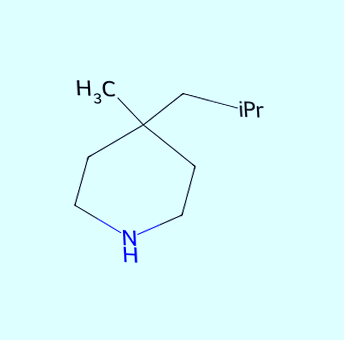 CC(C)CC1(C)CCNCC1